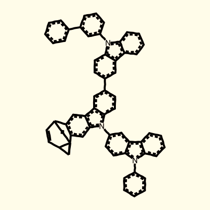 C1=CC2C3C=CC1c1cc4c5cc(-c6ccc7c(c6)c6ccccc6n7-c6cccc(-c7ccccc7)c6)ccc5n(-c5ccc6c(c5)c5ccccc5n6-c5ccccc5)c4cc1C23